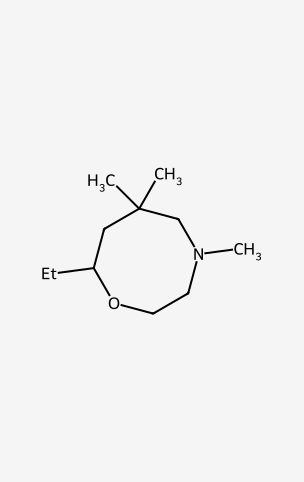 CCC1CC(C)(C)CN(C)CCO1